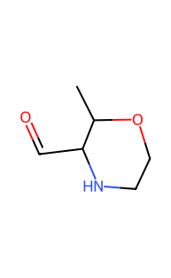 CC1OCCNC1C=O